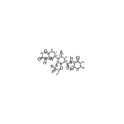 CC(Oc1cc(-c2ccc3c(n2)NC(=O)CO3)c(F)cc1C(=O)Nc1c(F)cccc1Cl)C(F)(F)F